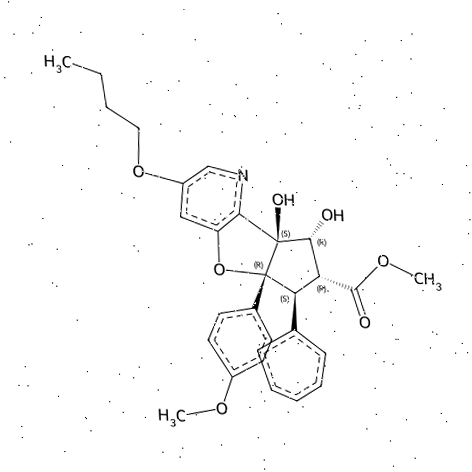 CCCCOc1cnc2c(c1)O[C@@]1(c3ccc(OC)cc3)[C@H](c3ccccc3)[C@@H](C(=O)OC)[C@@H](O)[C@@]21O